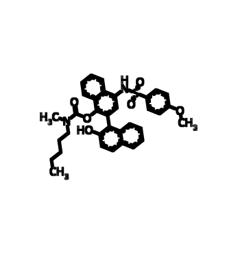 CCCCCN(C)C(=O)Oc1c(-c2c(O)ccc3ccccc23)cc(NS(=O)(=O)c2ccc(OC)cc2)c2ccccc12